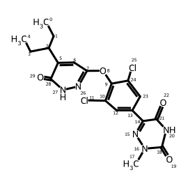 CCC(CC)c1cc(Oc2c(Cl)cc(-c3nn(C)c(=O)[nH]c3=O)cc2Cl)n[nH]c1=O